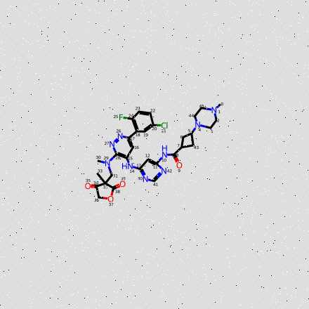 CN1CCN(C2CC(C(=O)Nc3cc(Nc4cc(-c5cc(Cl)ccc5F)nnc4N(C)CC4(C)C(=O)COC4=O)ncn3)C2)CC1